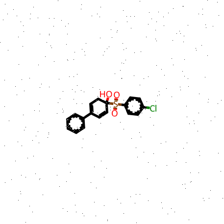 O=S(=O)(c1ccc(Cl)cc1)C1(O)C=CC(c2ccccc2)=CC1